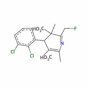 CC1=C(C(=O)O)C(c2cccc(Cl)c2Cl)C(C)(C(=O)O)C(CF)=N1